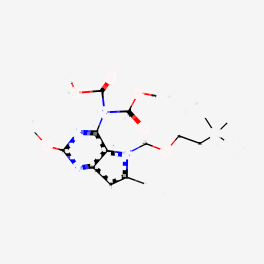 CCCCOc1nc(N(C(=O)OC(C)(C)C)C(=O)OC(C)(C)C)c2c(cc(C(=O)O)n2COCC[Si](C)(C)C)n1